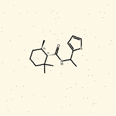 CC(NC(=O)[C@H]1[C@H](C)CCCC1(C)C)c1cccs1